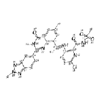 Cc1cc([C@@H](C)Nc2ccc(Cl)nc2C(=O)NS(C)(=O)=O)c2nc(-c3ccc4nn(C)nc4c3)n(C)c(=O)c2c1